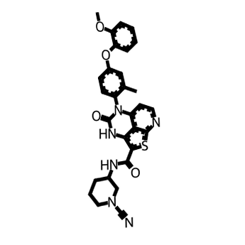 COc1ccccc1Oc1ccc(N2C(=O)Nc3c(C(=O)NC4CCCN(C#N)C4)sc4nccc2c34)c(C)c1